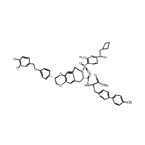 COC(=O)C(Cc1ccc(-c2ccc(C#N)cc2)cc1)NC(=O)[C@@H]1Cc2cc3c(cc2CN1S(=O)(=O)c1ccc(N(CC2CCC2)C(C)=O)nc1C)O[C@@H](c1ccc(OCc2ccc(Cl)c(Cl)c2)cc1)CO3